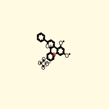 COc1cc(OC)c(-c2ccc(-c3ccccc3)[o+]c2-c2ccccc2)c(OC)c1.[O-][Cl+3]([O-])([O-])[O-]